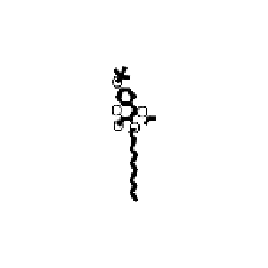 CCCCCCCCCCOc1c(OC(C)C)c2ccc(OC(C)(C)C)cc2oc1=O